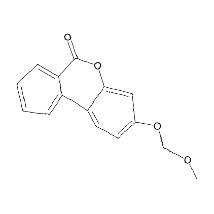 COCOc1ccc2c(c1)oc(=O)c1ccccc12